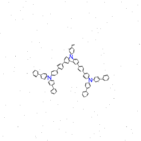 C=Cc1ccc(-n2c3ccc(-c4ccc(-c5ccc(N(c6ccc(-c7ccccc7)cc6)c6ccc(-c7ccccc7)cc6)cc5)cc4)cc3c3cc(-c4ccc(-c5ccc(N(c6ccc(-c7ccccc7)cc6)c6ccc(-c7ccccc7)cc6)cc5)cc4)ccc32)cc1